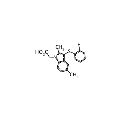 Cc1ccc2c(c1)c(Sc1ccccc1F)c(C)n2CC(=O)O